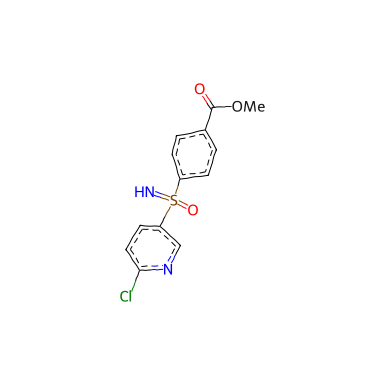 COC(=O)c1ccc(S(=N)(=O)c2ccc(Cl)nc2)cc1